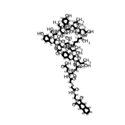 CC[C@H](C)[C@H](NC(=O)[C@H](CO)NC(=O)[C@H](Cc1ccc(O)cc1)NC(=O)[C@H](CC(=O)O)NC(=O)[C@H](CO)NC(=O)[C@@H](NC(=O)[C@H](Cc1ccccc1)NC(=O)[C@@H](NC(=O)CNC(=O)[C@H](CCC(=O)O)NC(=O)CSCC(=O)NCCN1C(=O)c2cc3ccccc3cc2C1=O)[C@@H](C)O)[C@@H](C)O)C(=O)N[C@@H](Cc1ccc(O)cc1)C(=O)N[C@@H](CC(C)C)C(=O)N[C@@H](CC(=O)O)C(=O)N[C@H](C)CCCCN